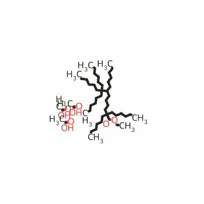 CC(=O)O.CC(=O)O.CC(=O)O.CCCCCCC(CCCCC(CCCCCC)(CCCCCC)C(=O)OCC)C(CCCCCC)(CCCCCC)CCCCCC